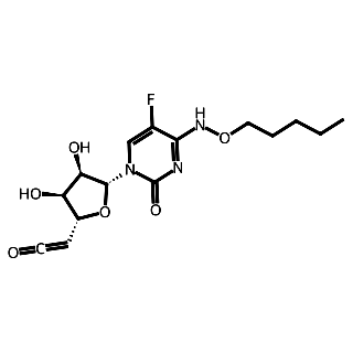 CCCCCONc1nc(=O)n([C@@H]2O[C@H](C=C=O)[C@@H](O)[C@H]2O)cc1F